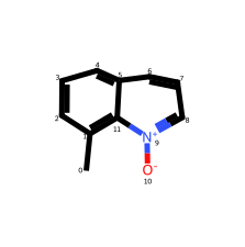 Cc1cccc2ccc[n+]([O-])c12